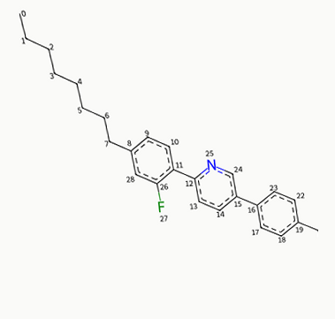 CCCCCCCCc1ccc(-c2ccc(-c3ccc(CC)cc3)cn2)c(F)c1